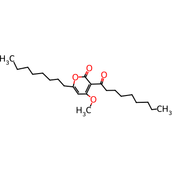 CCCCCCCCC(=O)c1c(OC)cc(CCCCCCCC)oc1=O